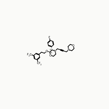 Fc1ccc([C@H]2[C@H](OCCc3cc(C(F)(F)F)cc(C(F)(F)F)c3)OCCN2CC#CCN2CCOCC2)cc1